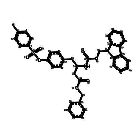 Cc1ccc(S(=O)(=O)Oc2ccc(CC(CC(=O)OCc3ccccc3)NC(=O)OCC3c4ccccc4-c4ccccc43)cc2)cc1